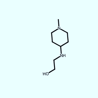 CN1CCC(NCCO)CC1